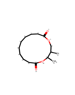 CCC1COC(=O)CCCCCCCCC(=O)OC1C